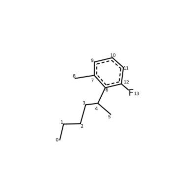 CCCCC(C)c1c(C)cccc1F